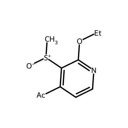 CCOc1nccc(C(C)=O)c1[S+](C)[O-]